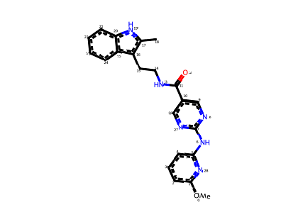 COc1cccc(Nc2ncc(C(=O)NCCc3c(C)[nH]c4ccccc34)cn2)n1